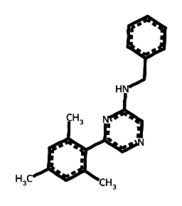 Cc1cc(C)c(-c2cncc(NCc3ccccc3)n2)c(C)c1